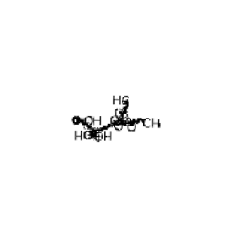 C#CCCCC(=O)OCC(COC(=O)CCCC#C)OC(=O)CCCC=CC[C@@H]1[C@@H](CC[C@@H](O)CCc2ccccc2)[C@H](O)C[C@@H]1O